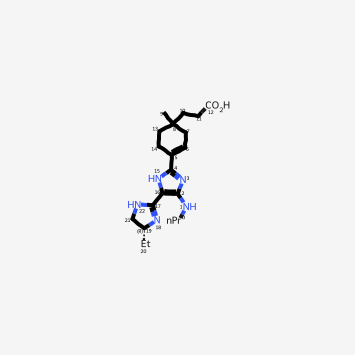 CCCNc1nc(C2=CCC(C)(CCC(=O)O)CC2)[nH]c1C1=N[C@H](CC)CN1